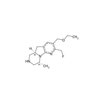 CCOCc1cc2c(nc1CF)N1[C@@H](CNC[C@H]1C)C2